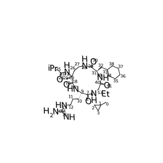 CC1CC1.CC[C@@H]1NC(=O)[C@H](CCCNC(=N)N)NC(=O)[C@](C)(NC(=O)C(C)C)CCNC(=O)[C@@H](CC2CCCCC2)NC1=O